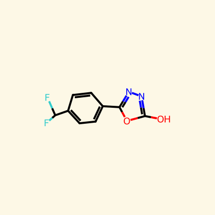 Oc1nnc(-c2ccc(C(F)F)cc2)o1